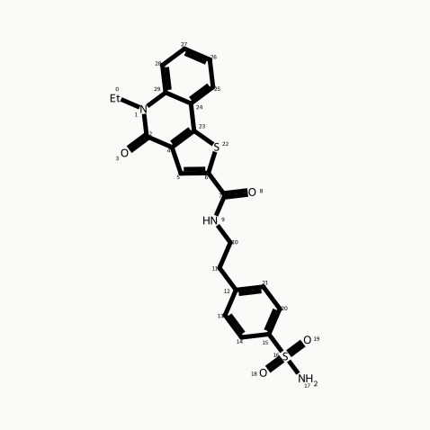 CCn1c(=O)c2cc(C(=O)NCCc3ccc(S(N)(=O)=O)cc3)sc2c2ccccc21